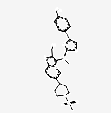 CCc1nc2ccc(C3CCN(S(C)(=O)=O)CC3)cn2c1N(C)c1nc(-c2ccc(C(C)(C)C)cc2)cs1